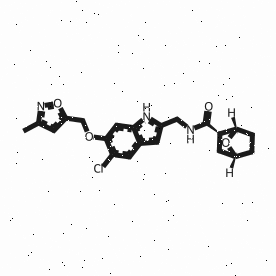 Cc1cc(COc2cc3[nH]c(CNC(=O)[C@@H]4C[C@H]5CC[C@@H]4O5)cc3cc2Cl)on1